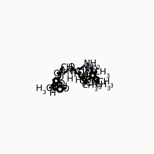 CCN(CCNC(=O)[C@H](CCCN/C(N)=N\S(=O)(=O)c1c(C)c(C)c2c(c1C)CC(C)(C)O2)CC(=O)CC(=O)OC(C)(C)C)C(=O)Oc1ccc2c3c1O[C@H]1C(=O)CCC4[C@@H](C2)N(C)CC[C@@]341